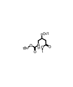 CCCCCCCCC(CNC(=O)OC(C)(C)C)CC(=O)OI